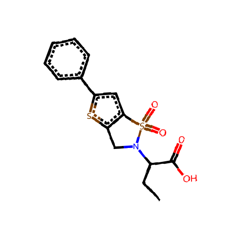 CCC(C(=O)O)N1Cc2sc(-c3ccccc3)cc2S1(=O)=O